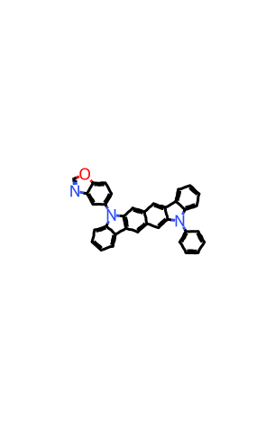 c1ccc(-n2c3ccccc3c3cc4cc5c(cc4cc32)c2ccccc2n5-c2ccc3ocnc3c2)cc1